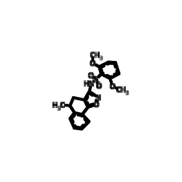 COc1cccc(OC)c1S(=O)(=O)Nc1noc2c1CC(C)c1ccccc1-2